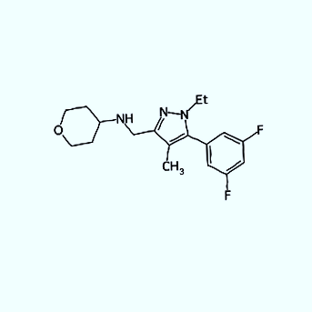 CCn1nc(CNC2CCOCC2)c(C)c1-c1cc(F)cc(F)c1